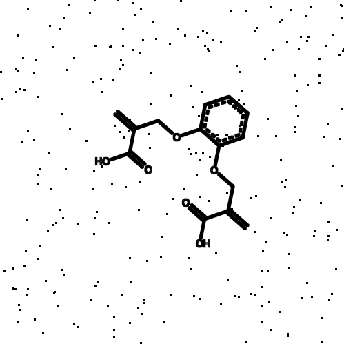 C=C(COc1ccccc1OCC(=C)C(=O)O)C(=O)O